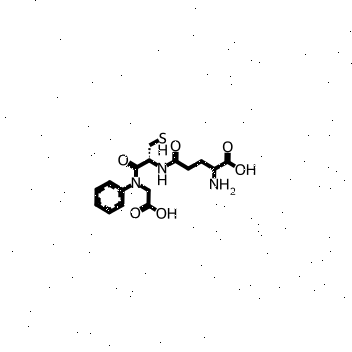 NC(CCC(=O)N[C@@H](CS)C(=O)N(CC(=O)O)c1ccccc1)C(=O)O